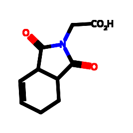 O=C(O)CN1C(=O)C2C=CCCC2C1=O